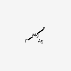 [Ag].[F][Mg][F]